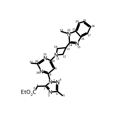 CCOC(=O)Cc1nc(C)nn1-c1cc(N2CC(c3nc4ccccc4n3C)C2)nc(C)n1